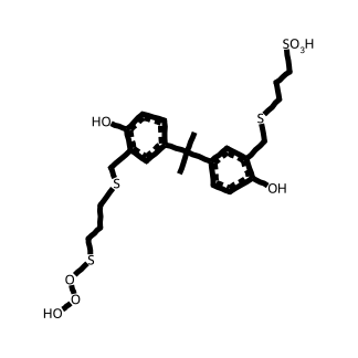 CC(C)(c1ccc(O)c(CSCCCSOOO)c1)c1ccc(O)c(CSCCCS(=O)(=O)O)c1